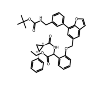 CCOC(=O)C(NC(=O)[C@@H]1C[C@H]1c1ccccc1)c1ccccc1OCc1cc(-c2cccc(CNC(=O)OC(C)(C)C)c2)c2occc2c1